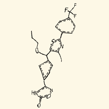 CCCOC(c1ccc(-c2noc(=O)[nH]2)cc1)c1sc(-c2ccc(C(F)(F)F)cc2)nc1C